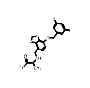 CC(NCc1ccc(OCc2cc(F)cc(F)c2)c2c1OCO2)C(N)=O